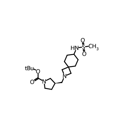 CC(C)(C)OC(=O)N1CC[C@H](CN2CC3(CCC(NS(C)(=O)=O)CC3)C2)C1